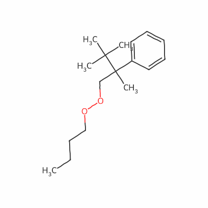 CCCCOOCC(C)(c1ccccc1)C(C)(C)C